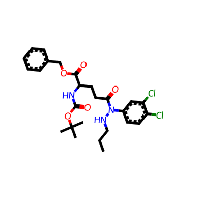 CCCNN(C(=O)CCC(NC(=O)OC(C)(C)C)C(=O)OCc1ccccc1)c1ccc(Cl)c(Cl)c1